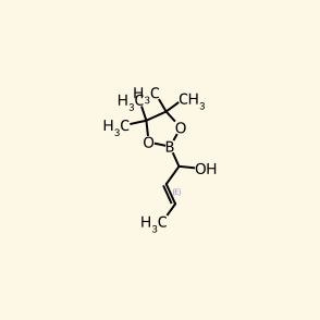 C/C=C/C(O)B1OC(C)(C)C(C)(C)O1